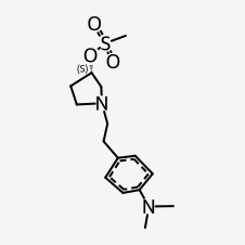 CN(C)c1ccc(CCN2CC[C@H](OS(C)(=O)=O)C2)cc1